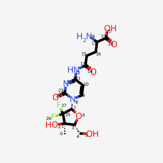 C[C@@]1(O)[C@@H](CO)O[C@@H](n2ccc(NC(=O)CCC(N)C(=O)O)nc2=O)C1(F)F